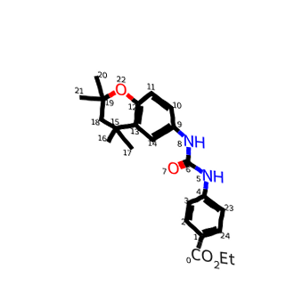 CCOC(=O)c1ccc(NC(=O)Nc2ccc3c(c2)C(C)(C)CC(C)(C)O3)cc1